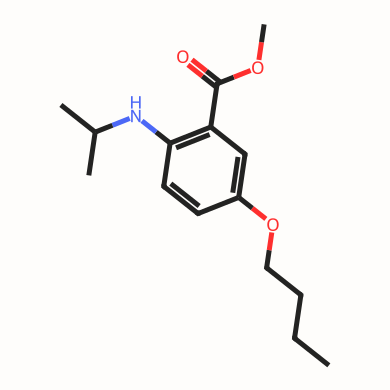 CCCCOc1ccc(NC(C)C)c(C(=O)OC)c1